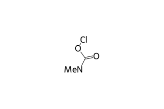 CNC(=O)OCl